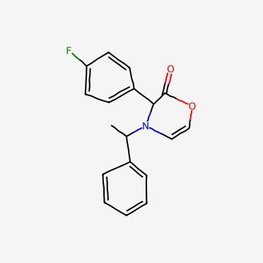 CC(c1ccccc1)N1C=COC(=O)C1c1ccc(F)cc1